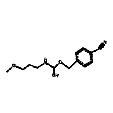 COCCCNC(O)OCc1ccc(C#N)cc1